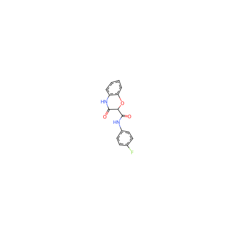 O=C(Nc1ccc(F)cc1)C1Oc2ccccc2NC1=O